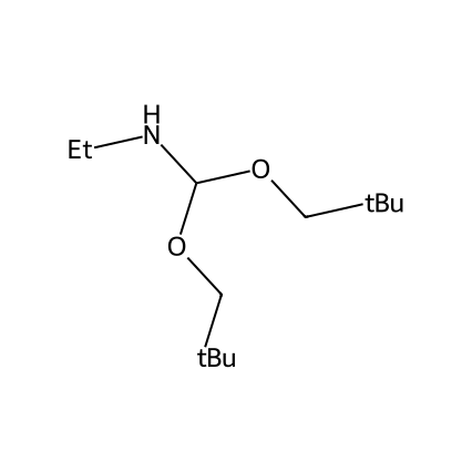 CCNC(OCC(C)(C)C)OCC(C)(C)C